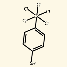 Sc1ccc(S(Cl)(Cl)(Cl)(Cl)Cl)cc1